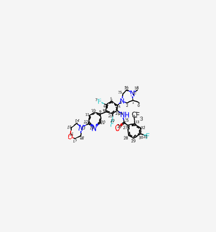 CC1CN(c2cc(F)c(-c3ccc(N4CCOCC4)nc3)c(F)c2NC(=O)c2ccc(F)cc2C(F)(F)F)CCN1C